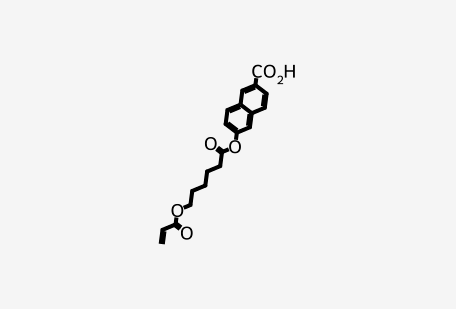 C=CC(=O)OCCCCCC(=O)Oc1ccc2cc(C(=O)O)ccc2c1